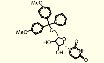 COc1ccc(C(OC[C@@H]2O[C@H](n3ccc(=O)[nH]c3=O)C(O)C2O)(c2ccccc2)c2ccc(OC)cc2)cc1